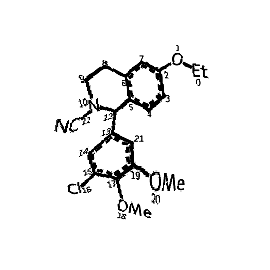 CCOc1ccc2c(c1)CCN(C#N)C2c1cc(Cl)c(OC)c(OC)c1